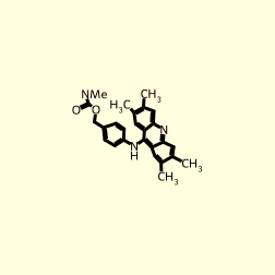 CNC(=O)OCc1ccc(Nc2c3cc(C)c(C)cc3nc3cc(C)c(C)cc23)cc1